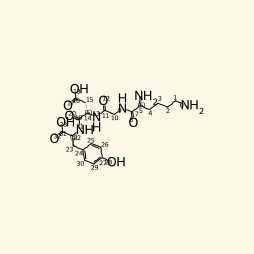 NCCCC[C@H](N)C(=O)NCC(=O)N[C@@H](CC(=O)O)C(=O)N[C@@H](Cc1ccc(O)cc1)C(=O)O